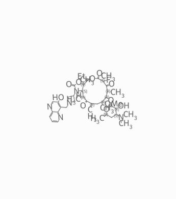 CC[C@H]1OC(=O)[C@@](C)(F)C(=O)[C@H](C)[C@@H](O[C@@H]2O[C@H](C)C[C@H](N(C)C)[C@H]2O)[C@](C)(OC)C[C@@H](C)C(=O)[C@H](C)[C@@H]2N(C3CN(Cc4c(O)cnc5cccnc45)C3)C(=O)O[C@@]21C